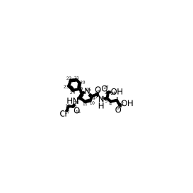 O=C(O)CCC(NC(=O)c1ccc(NC(=O)CCl)c(-c2ccccc2)n1)C(=O)O